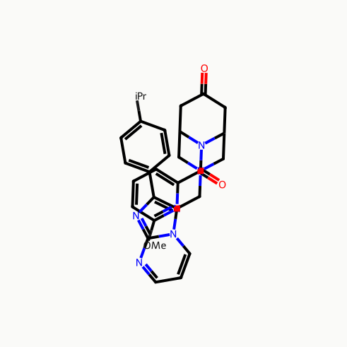 COc1cccc(C(=O)N2C3CC(=O)CC2CN(Cc2c(-c4ccc(C(C)C)cc4)nc4ncccn24)C3)n1